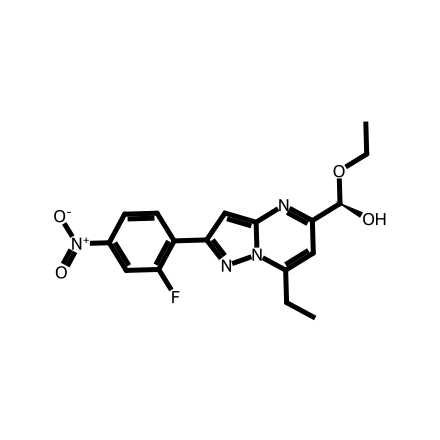 CCO[C@@H](O)c1cc(CC)n2nc(-c3ccc([N+](=O)[O-])cc3F)cc2n1